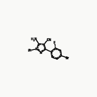 CC(C)n1nc(-c2ccc(Br)cc2F)c(C#N)c1N